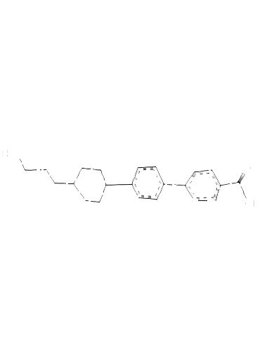 CCCCC1CCC(c2ccc(-c3ccc(C(=O)O)cc3)cc2)CC1